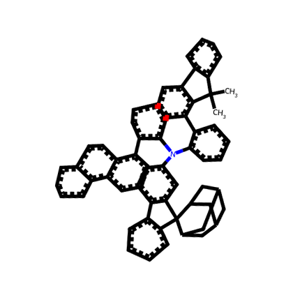 CC1(C)c2ccccc2-c2cccc(-c3ccccc3N(c3ccc4c(c3)C3(c5ccccc5-4)C4CC5CC(C4)CC3C5)c3ccccc3-c3cccc4c3ccc3ccccc34)c21